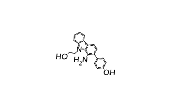 Nc1c(-c2ccc(O)cc2)ccc2c3ccccc3n(CCO)c12